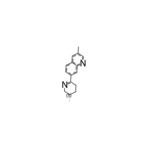 Cc1cnc2cc(C3=NC[C@@H](C)CC3)ccc2c1